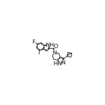 Cc1cc(F)cc2[nH]c(C(=O)N3CCc4[nH]nc(C56CC(C5)C6)c4C3)cc12